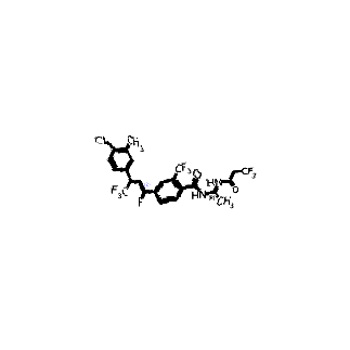 Cc1cc(C(/C=C(\F)c2ccc(C(=O)N[C@H](C)NC(=O)CC(F)(F)F)c(C(F)(F)F)c2)C(F)(F)F)ccc1Cl